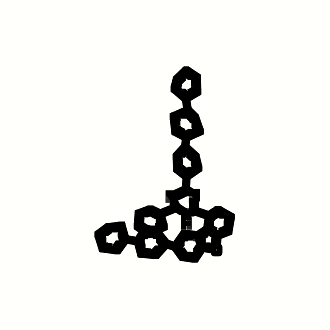 c1ccc(-c2ccc(-c3ccc(C4=NC(c5ccccc5)NC(c5cccc6oc7ccc(-c8ccc(-c9ccccc9)cc8)cc7c56)=N4)cc3)cc2)cc1